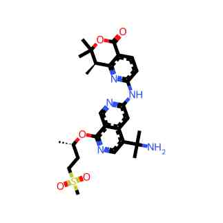 C[C@@H]1c2nc(Nc3cc4c(C(C)(C)N)cnc(O[C@@H](C)CCS(C)(=O)=O)c4cn3)ccc2C(=O)OC1(C)C